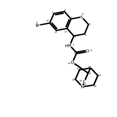 O=C(NC1CCSc2ccc(Br)cc21)OC1CN2CCC1CC2